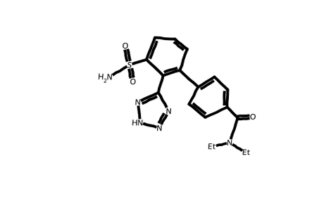 CCN(CC)C(=O)c1ccc(-c2cccc(S(N)(=O)=O)c2-c2nn[nH]n2)cc1